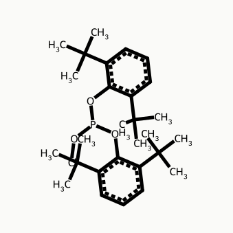 CC(C)(C)c1cccc(C(C)(C)C)c1OP(OCl)Oc1c(C(C)(C)C)cccc1C(C)(C)C